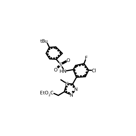 CCOC(=O)Cc1nnc(-c2cc(Cl)c(F)cc2NS(=O)(=O)c2ccc(C(C)(C)C)cc2)n1C